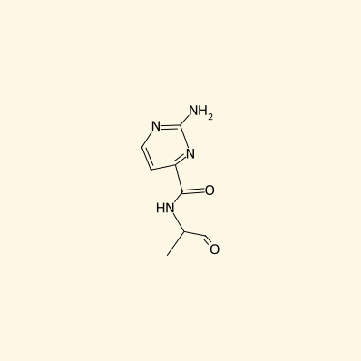 CC(C=O)NC(=O)c1ccnc(N)n1